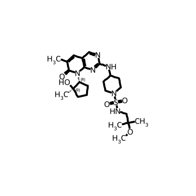 COC(C)(C)CNS(=O)(=O)N1CCC(Nc2ncc3cc(C)c(=O)n([C@@H]4CCC[C@@]4(C)O)c3n2)CC1